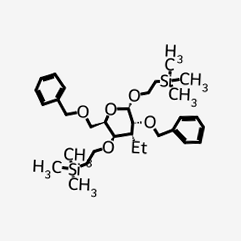 CC[C@@H]1[C@@H](OCC[Si](C)(C)C)[C@@H](COCc2ccccc2)O[C@H](OCC[Si](C)(C)C)[C@@H]1OCc1ccccc1